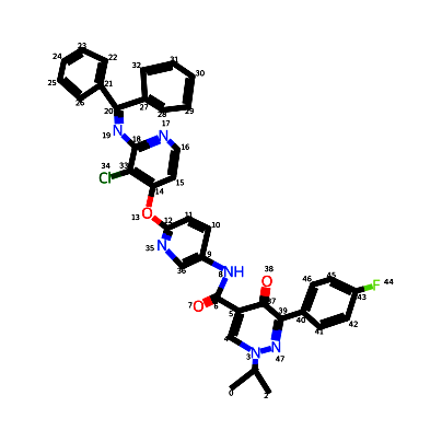 CC(C)n1cc(C(=O)Nc2ccc(Oc3ccnc(N=C(c4ccccc4)c4ccccc4)c3Cl)nc2)c(=O)c(-c2ccc(F)cc2)n1